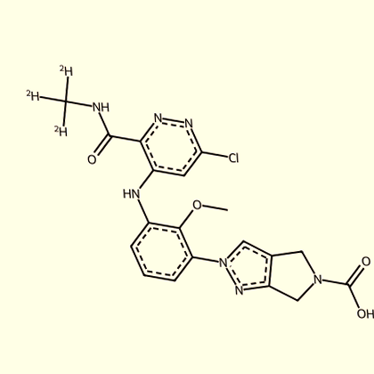 [2H]C([2H])([2H])NC(=O)c1nnc(Cl)cc1Nc1cccc(-n2cc3c(n2)CN(C(=O)O)C3)c1OC